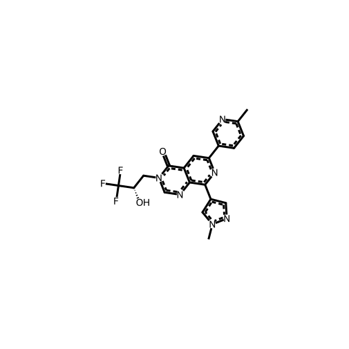 Cc1ccc(-c2cc3c(=O)n(C[C@H](O)C(F)(F)F)cnc3c(-c3cnn(C)c3)n2)cn1